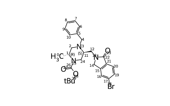 C[C@@H]1CN(Cc2ccccc2)[C@@H](CN2Cc3cc(Br)ccc3C2=O)CN1C(=O)OC(C)(C)C